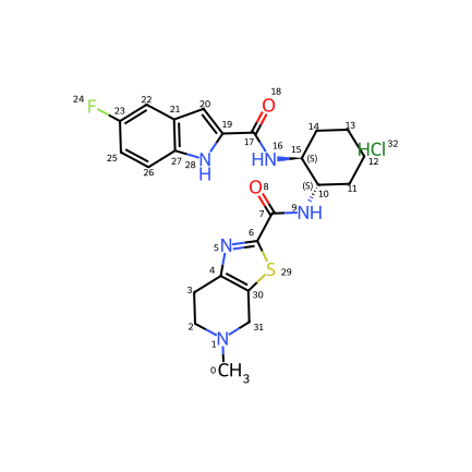 CN1CCc2nc(C(=O)N[C@H]3CCCC[C@@H]3NC(=O)c3cc4cc(F)ccc4[nH]3)sc2C1.Cl